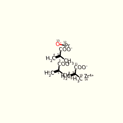 C=C(C)C(=O)[O-].C=C(C)C(=O)[O-].C=C(C)C(=O)[O-].CC(C)[O-].[Zr+4]